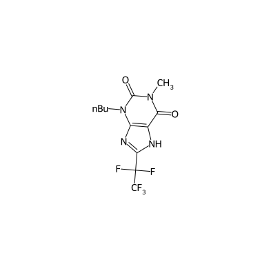 CCCCn1c(=O)n(C)c(=O)c2[nH]c(C(F)(F)C(F)(F)F)nc21